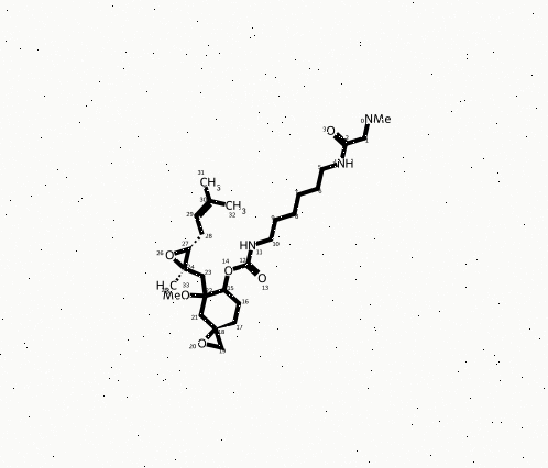 CNCC(=O)NCCCCCCNC(=O)OC1CC[C@]2(CO2)CC1(C[C@@]1(C)O[C@@H]1CC=C(C)C)OC